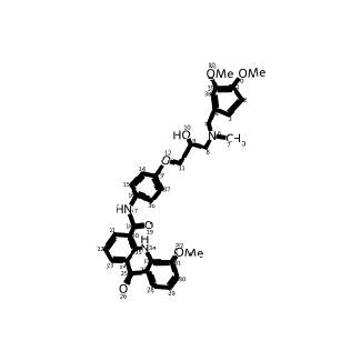 COc1ccc(CN(C)CC(O)COc2ccc(NC(=O)c3cccc4c(=O)c5cccc(OC)c5[nH]c34)cc2)cc1OC